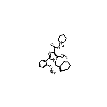 CCCOc1ccccc1-c1nc(C(=O)NN2CCCCC2)c(C)n1CC1CCCCC1